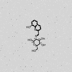 OC[C@H]1O[C@@H](O)[C@H](N=Cc2ccc3cccc(O)c3n2)[C@@H](O)[C@@H]1O